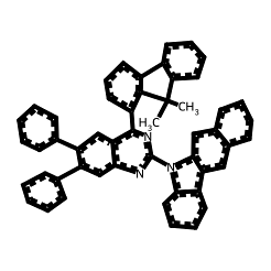 CC1(C)c2ccccc2-c2cccc(-c3nc(-n4c5ccccc5c5cc6ccccc6cc54)nc4cc(-c5ccccc5)c(-c5ccccc5)cc34)c21